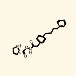 O=C(Cc1ccc(CCCCc2ccccc2)cc1)NOC(=O)[C@@H]1CCCN1